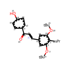 CCCc1c(OC(C)(C)C)cc(/C=C/C(=O)c2ccc(O)cc2)cc1OC(C)(C)C